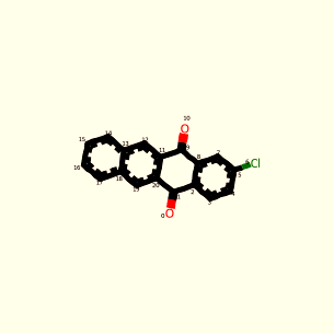 O=C1c2ccc(Cl)cc2C(=O)c2cc3ccccc3cc21